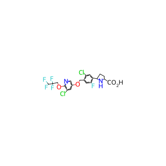 O=C(O)C1CCC(c2cc(Cl)c(COc3cnc(OCC(F)(F)C(F)F)c(Cl)c3)cc2F)N1